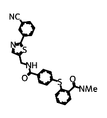 CNC(=O)c1ccccc1Sc1ccc(C(=O)NCc2cnc(-c3cccc(C#N)c3)s2)cc1